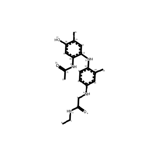 CCNC(=O)CNc1ccc(Nc2cc(C)c(O)cc2NC(C)=O)c(C)c1